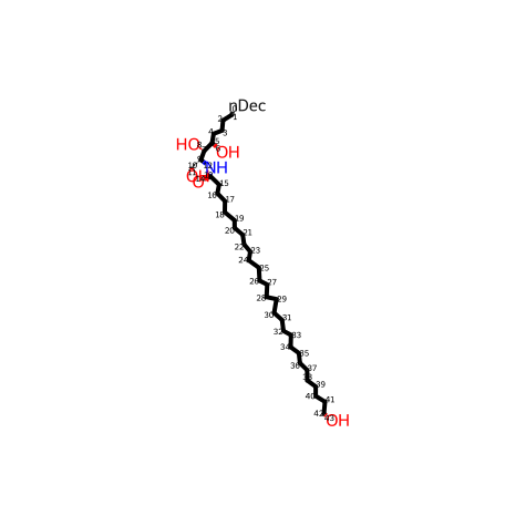 CCCCCCCCCCCCCCC(O)[C@@H](O)[C@@H](CO)NC(=O)CCCCCCCCCCCCCCCCCCCCCCCCCCCCO